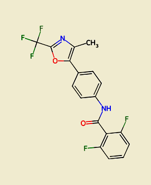 Cc1nc(C(F)(F)F)oc1-c1ccc(NC(=O)c2c(F)cccc2F)cc1